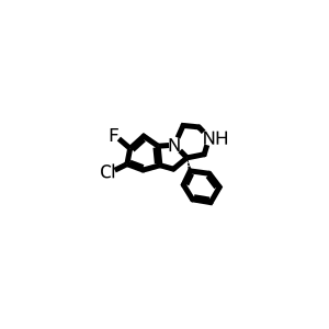 Fc1cc2c(cc1Cl)C[C@]1(c3ccccc3)CNCCN21